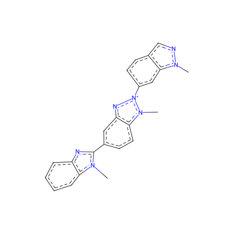 Cn1ncc2ccc(-[n+]3nc4cc(-c5nc6ccccc6n5C)ccc4n3C)cc21